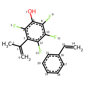 C=C(C)c1c(F)c(O)c(F)c(F)c1F.C=Cc1ccccc1